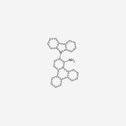 Nc1c(-n2c3ccccc3c3ccccc32)ccc2c3ccccc3c3ccccc3c12